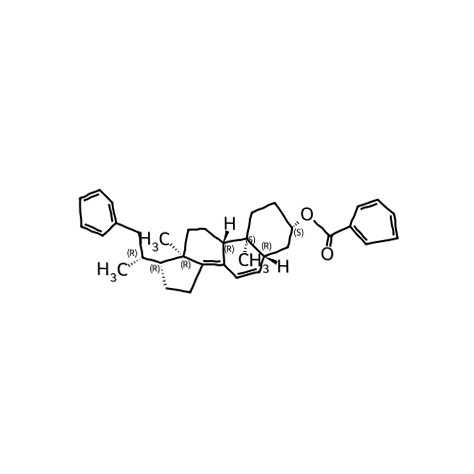 C[C@H](Cc1ccccc1)[C@H]1CCC2=C3C=C[C@H]4C[C@@H](OC(=O)c5ccccc5)CC[C@]4(C)[C@H]3CC[C@@]21C